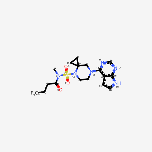 CN(C(=O)CCC(F)(F)F)S(=O)(=O)N1CCN(c2ncnc3[nH]ccc23)CC12CC2